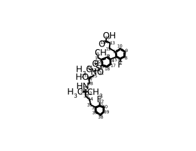 CCc1cc(-c2c(F)cccc2CCC(=O)O)ccc1S(=O)(=O)N(C)C[C@H](O)CNC(C)(C)CCCc1ccccc1F